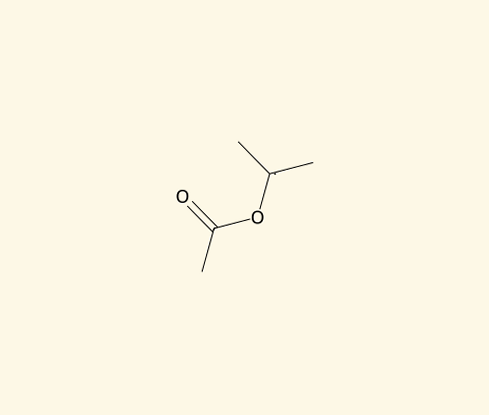 C[C](C)OC(C)=O